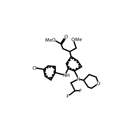 COCC(CC(=O)OC)c1ccc(N(CC(F)F)C2CCOCC2)c(Nc2ccc(Cl)cc2)c1